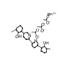 CC(=O)[O-].CC(=O)[O-].CC(=O)[O-].Cc1cccc(-c2ccc(-c3ccc(-c4cccc(C)c4O)cn3)nc2)c1O.[Mn+3]